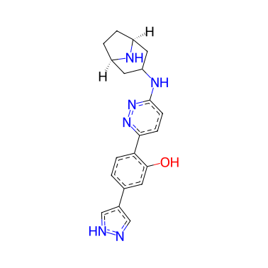 Oc1cc(-c2cn[nH]c2)ccc1-c1ccc(NC2C[C@H]3CC[C@@H](C2)N3)nn1